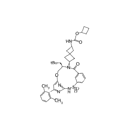 Cc1cccc(C)c1-c1cc2nc(n1)NS(=O)(=O)c1cccc(c1)C(=O)N(C1CC3(CC(NC(=O)OC4CCC4)C3)C1)[C@H](CC(C)(C)C)CO2